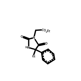 CCOC(=O)CN1C(=O)NC(CC)(c2ccccc2)C1=O